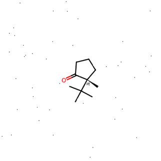 CC(C)(C)[C@@]1(C)CCCC1=O